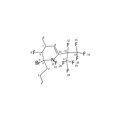 CCCC1(Br)[C](F)C(C)C=C(C(F)(C(F)(F)F)C(F)(F)F)N1F